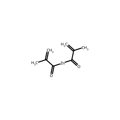 C=C(C)[C](=O)[Zn][C](=O)C(=C)C